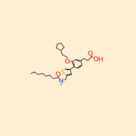 CCCCCCCC(=O)N(C)Cc1cc(-c2ccc(CCC(=O)O)cc2OCCC2CCCC2)cs1